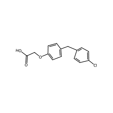 O=C(O)COc1ccc(Cc2ccc(Cl)cc2)cc1